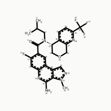 CC(C)CN(C(=O)c1cc2c(cc1F)nc(N)c1c2cnn1C)[C@H]1COCc2nc(C(F)(F)F)ccc21